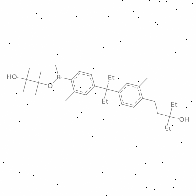 CCC(O)(CC)CCc1ccc(C(CC)(CC)c2ccc(B(C)OC(C)(C)C(C)(C)O)c(C)c2)cc1C